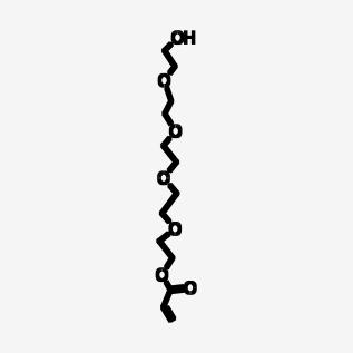 C=CC(=O)OCCOCCOCCOCCOCCO